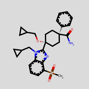 CS(=O)(=O)c1cccc2c1nc([C@]1(OCC3CC3)CC[C@@](C(N)=O)(c3ccccc3)CC1)n2CC1CC1